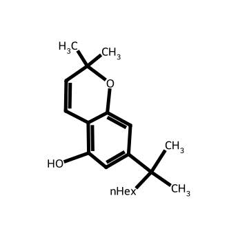 CCCCCCC(C)(C)c1cc(O)c2c(c1)OC(C)(C)C=C2